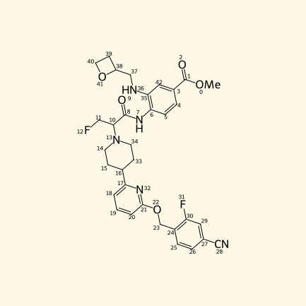 COC(=O)c1ccc(NC(=O)C(CF)N2CCC(c3cccc(OCc4ccc(C#N)cc4F)n3)CC2)c(NCC2CCO2)c1